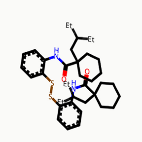 CCC(CC)CC1(C(=O)Nc2ccccc2SSc2ccccc2NC(=O)C2(CC(CC)CC)CCCCC2)CCCCC1